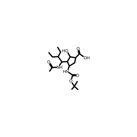 CCC(CC)C(NC(C)=O)C1C(NC(=O)OC(C)(C)C)CC(C(=O)O)C1O